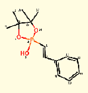 CC1(C)O[P](O)(C=Cc2ccccc2)OC1(C)C